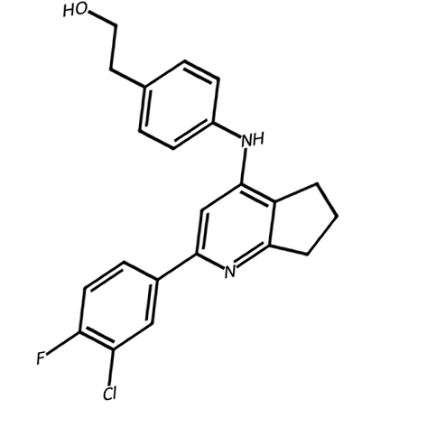 OCCc1ccc(Nc2cc(-c3ccc(F)c(Cl)c3)nc3c2CCC3)cc1